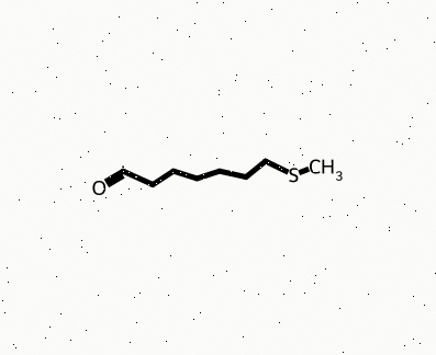 CSCCCCCC[C]=O